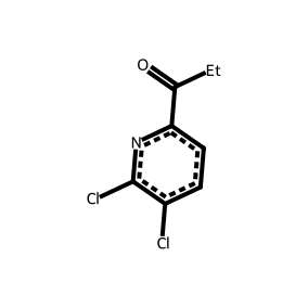 CCC(=O)c1ccc(Cl)c(Cl)n1